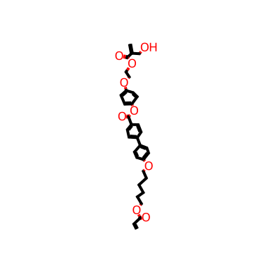 C=CC(=O)OCCCCCCOc1ccc(-c2ccc(C(=O)Oc3ccc(OCCOC(=O)C(=C)CO)cc3)cc2)cc1